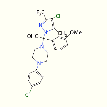 COc1cccc(C(C=O)(N2CCN(c3ccc(Cl)cc3)CC2)n2nc(C(F)(F)F)c(Cl)c2C)c1